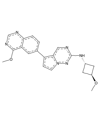 COc1ncnc2ccc(-c3ccn4nc(N[C@H]5C[C@H](OC)C5)ncc34)cc12